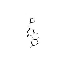 Cc1cnc(Cl)cc1-n1c(C)cc(OC2CN[C@H]2F)cc1=O